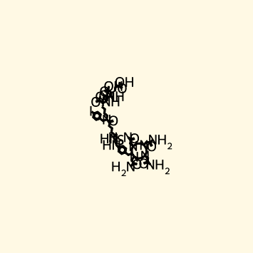 NC(=O)CN1CCN(CC(N)=O)CCN(CC(N)=O)C(Cc2ccc(NC(=S)NCCCCC(=O)N(CCCC[C@@H](NC(=O)N[C@H](CCC(=O)O)C(=O)O)C(=O)O)Cc3ccc(I)cc3)cc2)CN(CC(N)=O)CC1